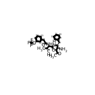 CC(=O)C[C@H](N)[C@H](Cc1ccccc1)NC(=O)[C@@H](NC(=O)Cc1cccc(OC(F)(F)F)c1)C(C)C